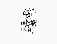 CC(OP(=O)(O)OI)C(CO)NC(=O)Cn1cnc2c(N)ncnc21